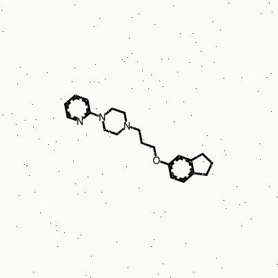 c1ccc(N2CCN(CCCOc3ccc4c(c3)CCC4)CC2)nc1